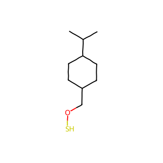 CC(C)C1CCC(COS)CC1